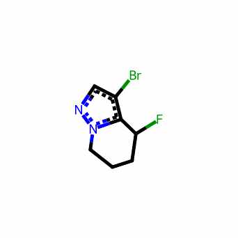 FC1CCCn2ncc(Br)c21